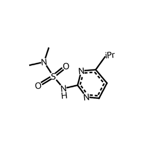 CC(C)c1ccnc(NS(=O)(=O)N(C)C)n1